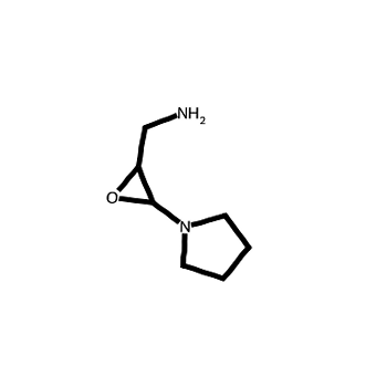 NCC1OC1N1CCCC1